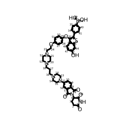 O=C1CCC(N2C(=O)c3ccc(N4CCN(CCCN5CCN(CCOc6ccc(Oc7c(-c8ccc(B(O)O)cc8)sc8cc(O)ccc78)cc6)CC5)CC4)cc3C2=O)C(=O)N1